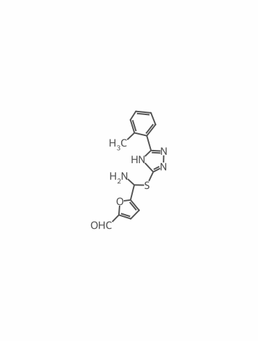 Cc1ccccc1-c1nnc(SC(N)c2ccc(C=O)o2)[nH]1